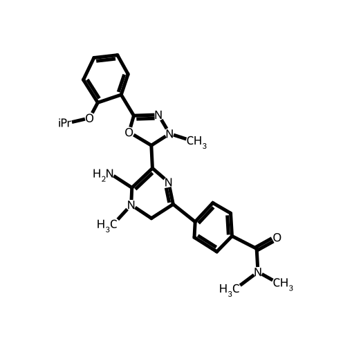 CC(C)Oc1ccccc1C1=NN(C)C(C2=C(N)N(C)CC(c3ccc(C(=O)N(C)C)cc3)=N2)O1